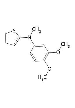 COc1ccc(N(C)c2cccs2)cc1OC